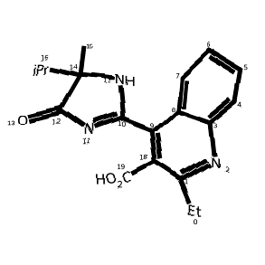 CCc1nc2ccccc2c(C2=NC(=O)C(C)(C(C)C)N2)c1C(=O)O